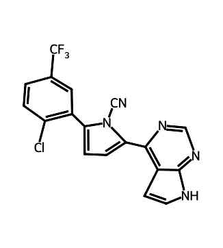 N#Cn1c(-c2cc(C(F)(F)F)ccc2Cl)ccc1-c1ncnc2[nH]ccc12